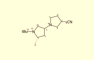 C[C@H]1CC(N2CCC(C#N)C2)CN1C(C)(C)C